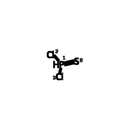 S=[PH](Cl)Cl